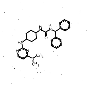 CN(C)c1ccnc(NC2CCC(NC(=O)NC(c3ccccc3)c3ccccc3)CC2)n1